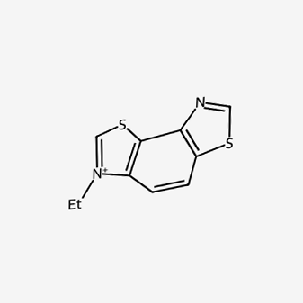 CC[n+]1csc2c3ncsc3ccc21